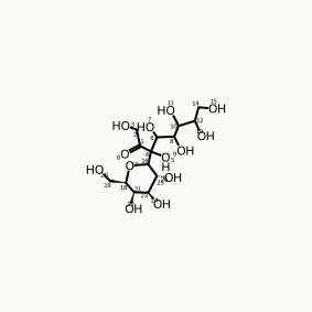 O=C(CO)C(O)(C(O)C(O)C(O)C(O)CO)C1O[C@H](CO)[C@H](O)[C@H](O)[C@H]1O